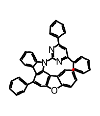 c1ccc(-c2cc(-c3ccccc3)nc(-n3c4ccccc4c4c(-c5ccccc5)cc5oc6ccccc6c5c43)n2)cc1